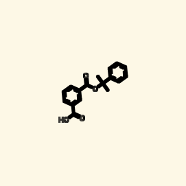 CC(C)(OC(=O)c1cccc(C(=O)O)c1)c1ccccc1